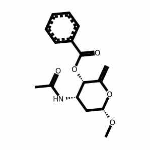 C=C1O[C@H](OC)C[C@H](NC(C)=O)[C@@H]1OC(=O)c1ccccc1